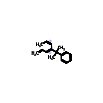 C=C/C=C(\C=C/C)C(C)(C)c1ccccc1